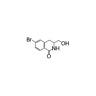 O=C1NC(CO)Cc2cc(Br)ccc21